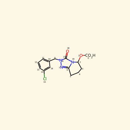 O=C(O)OC1CCCc2nn(Cc3cccc(Cl)c3)c(=O)n21